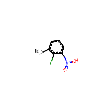 O=C(O)c1cccc([NH+]([O-])O)c1F